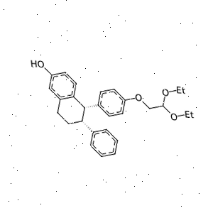 CCOC(COc1ccc([C@H]2c3ccc(O)cc3CC[C@H]2c2ccccc2)cc1)OCC